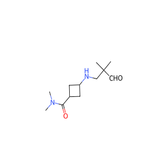 CN(C)C(=O)C1CC(NCC(C)(C)C=O)C1